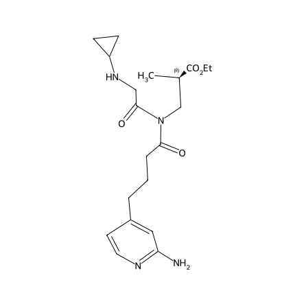 CCOC(=O)[C@H](C)CN(C(=O)CCCc1ccnc(N)c1)C(=O)CNC1CC1